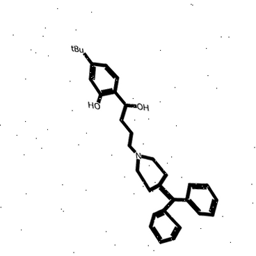 CC(C)(C)c1ccc(C(O)CCCN2CCC(=C(c3ccccc3)c3ccccc3)CC2)c(O)c1